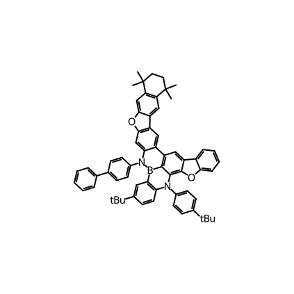 CC(C)(C)c1ccc(N2c3ccc(C(C)(C)C)cc3B3c4c(cc5c(oc6ccccc65)c42)-c2cc4c(cc2N3c2ccc(-c3ccccc3)cc2)oc2cc3c(cc24)C(C)(C)CCC3(C)C)cc1